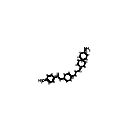 Cc1ccc(NCC2CCC(CCCN3CCC4(CCC(N)CC4)CC3)CC2)cc1